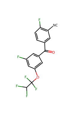 [C-]#[N+]c1cc(C(=O)c2cc(F)cc(OC(F)(F)C(F)F)c2)ccc1F